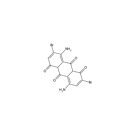 NC1=C2C(=O)C3C(=O)C=C(Br)C(N)=C3C(=O)C2C(=O)C(Br)=C1